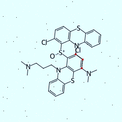 CN(C)CCCN1c2ccccc2Sc2ccc(Cl)c([S+]([O-])c3c(Cl)ccc4c3N(CCCN(C)C)c3ccccc3S4)c21